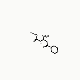 CC(C)(C)OC(=O)NC(CC(=O)N1CCCCC1)C(=O)O